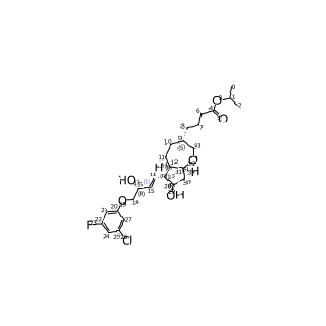 CC(C)OC(=O)CCC[C@H]1CC[C@@H]2[C@@H](/C=C/[C@@H](O)COc3cc(F)cc(Cl)c3)[C@H](O)C[C@@H]2OC1